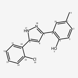 Cc1ccc(O)c(-c2cc(-c3ccccc3Cl)[nH]n2)c1